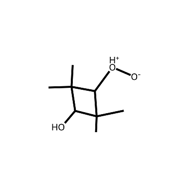 CC1(C)C(O)C(C)(C)C1[OH+][O-]